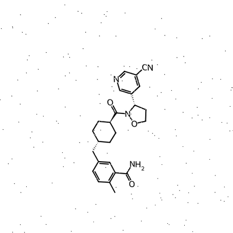 Cc1ccc(C[C@H]2CC[C@H](C(=O)N3OCC[C@H]3c3cncc(C#N)c3)CC2)cc1C(N)=O